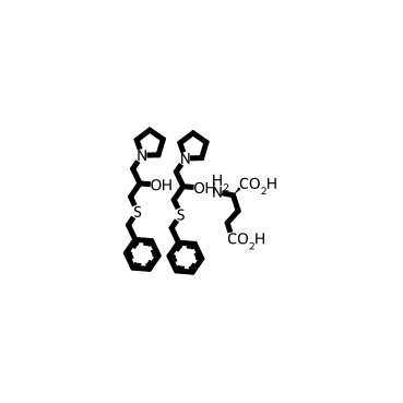 N[C@@H](CCC(=O)O)C(=O)O.OC(CSCc1ccccc1)CN1CCCC1.OC(CSCc1ccccc1)CN1CCCC1